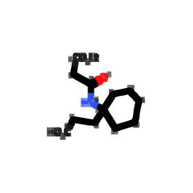 CCOC(=O)CC(=O)NC1(CCC(=O)O)CCCCC1